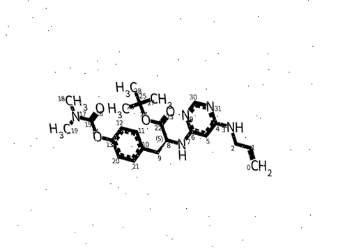 C=CCNc1cc(N[C@@H](Cc2ccc(OC(=O)N(C)C)cc2)C(=O)OC(C)(C)C)ncn1